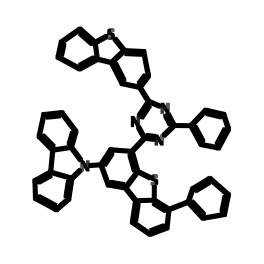 c1ccc(-c2nc(-c3ccc4sc5ccccc5c4c3)nc(-c3cc(-n4c5ccccc5c5ccccc54)cc4c3sc3c(-c5ccccc5)cccc34)n2)cc1